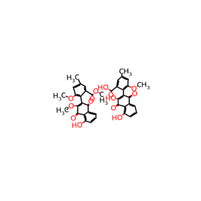 COC(=O)c1cc(C)cc(OC)c1C1=C(OC)C(=O)c2c(O)cccc2C1=O.COc1cc(C)cc(C(=O)O)c1C1=C(O)C(=O)c2c(O)cccc2C1=O